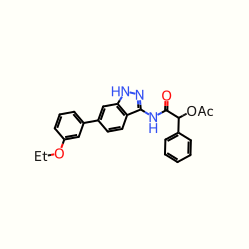 CCOc1cccc(-c2ccc3c(NC(=O)C(OC(C)=O)c4ccccc4)n[nH]c3c2)c1